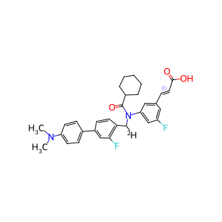 [2H]C(c1ccc(-c2ccc(N(C)C)cc2)cc1F)N(C(=O)C1CCCCC1)c1cc(F)cc(/C=C/C(=O)O)c1